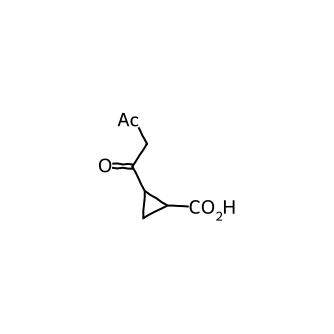 CC(=O)CC(=O)C1CC1C(=O)O